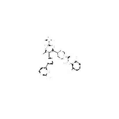 Cc1nc(S(C)(=O)=O)nc(C2CCN(C(=O)Nc3c(F)cccc3F)CC2)c1-c1ncc(-c2ccnc(C(F)(F)F)n2)o1